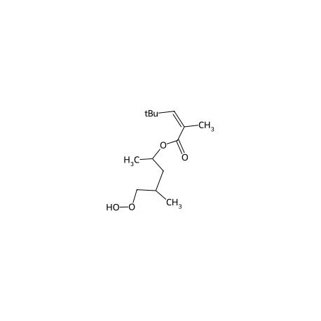 CC(=CC(C)(C)C)C(=O)OC(C)CC(C)COO